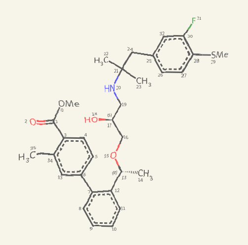 COC(=O)c1ccc(-c2ccccc2[C@@H](C)OC[C@@H](O)CNC(C)(C)Cc2ccc(SC)c(F)c2)cc1C